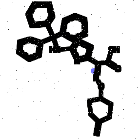 C=C1CCC(O/N=C(\C(=O)O)c2csc(NC(c3ccccc3)(c3ccccc3)c3ccccc3)n2)CC1